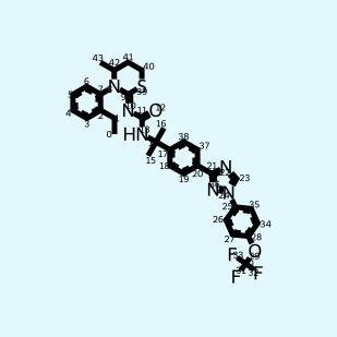 CCc1ccccc1N1/C(=N/C(=O)NC(C)(C)c2ccc(-c3ncn(-c4ccc(OC(F)(F)F)cc4)n3)cc2)SCCC1C